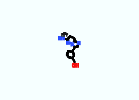 CCCNc1ccc2ncc(-c3cccc(CO)c3)n2n1